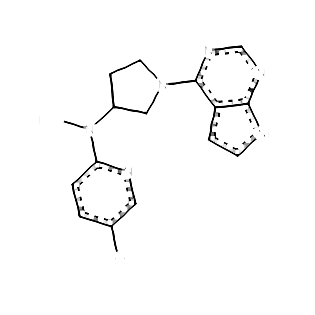 CN(c1ccc(C(=O)O)cn1)C1CCN(c2ncnc3[nH]ccc23)C1